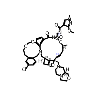 COc1nn(C)cc1C(=O)/N=C/S1(=O)=NC(=O)c2ccc3c(c2)N(Cc2ccc(Cl)cc2CCCCO3)C[C@@H]2CC[C@H]2[C@@](CN2CCN3CCOC[C@@H]3C2)(OC)/C=C/C[C@H](C)C1